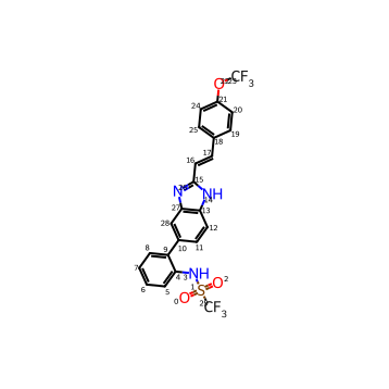 O=S(=O)(Nc1ccccc1-c1ccc2[nH]c(/C=C/c3ccc(OC(F)(F)F)cc3)nc2c1)C(F)(F)F